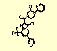 O=C(c1nc2c(C(F)(F)F)cc(-c3ccoc3)cn2c1Cl)N1CCN(c2ccccn2)C(=O)C1